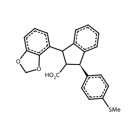 CSc1ccc([C@@H]2c3ccccc3C(c3cccc4c3OCO4)C2C(=O)O)cc1